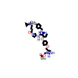 COc1ccc(Cn2nc(N[C@@H]3CCN(C(=O)/C=C/CN(C)C4CC4)C3)c3c(Oc4ccc(OCC5=CNNN5COC(=O)C(C)(C)C)cc4)ccnc32)cc1